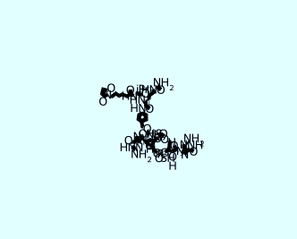 CC(C)[C@H](NC(=O)CCCCCN1C(=O)C=CC1=O)C(=O)N[C@@H](CCCNC(N)=O)C(=O)Nc1ccc(COC(=O)NC2C3OP(=O)(S)OC[C@H]4O[C@@H](n5cnc6c(=O)[nH]c(N)nc65)C(O)C4OP(=O)(S)OC[C@H]3O[C@H]2n2cnc3c(=O)[nH]c(N)nc32)cc1